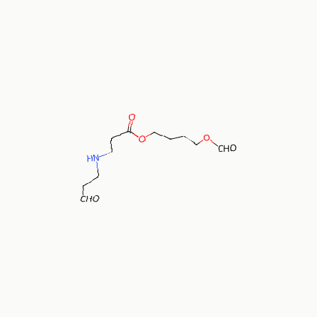 O=CCCNCCC(=O)OCCCCOC=O